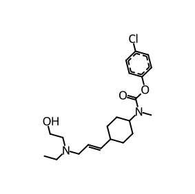 CCN(CC=CC1CCC(N(C)C(=O)Oc2ccc(Cl)cc2)CC1)CCO